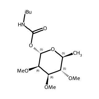 CCC(C)NC(=O)O[C@@H]1O[C@@H](C)[C@H](OC)[C@@H](OC)[C@H]1OC